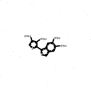 CCCCCCc1cc2csc(-c3scc(CCCCCC)c3CCCCCC)c2cc1CCCCCC